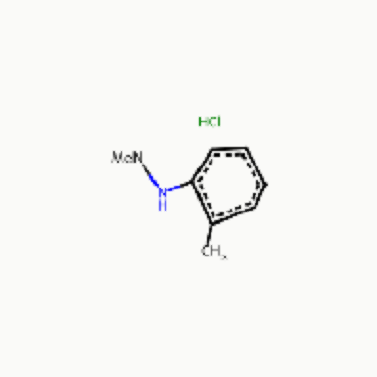 CNNc1ccccc1C.Cl